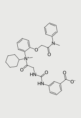 CN(C(=O)COc1ccccc1[N+](C)(C(=O)CNC(=O)Nc1cccc(C(=O)[O-])c1)C1CCCCC1)c1ccccc1